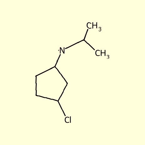 CC(C)[N]C1CCC(Cl)C1